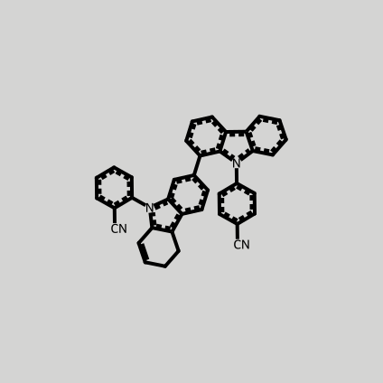 N#Cc1ccc(-n2c3ccccc3c3cccc(-c4ccc5c6c(n(-c7ccccc7C#N)c5c4)C=CCC6)c32)cc1